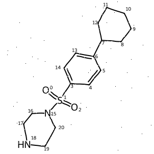 O=S(=O)(c1ccc(C2CCCCC2)cc1)N1CCNCC1